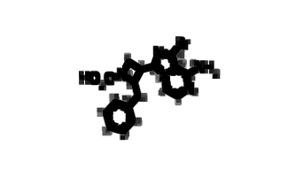 Nc1nccn2c(C3CN(C(=O)O)C3Cc3ccccc3)nc(Br)c12